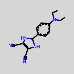 CCN(CC)c1ccc(C2NC(C#N)=C(C#N)N2)cc1